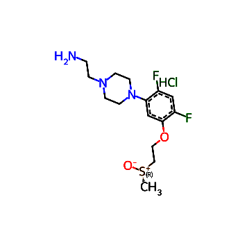 C[S@+]([O-])CCOc1cc(N2CCN(CCN)CC2)c(F)cc1F.Cl